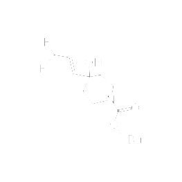 CC(C)(C)OC(=O)N1CCC(O)(/C=C/C(F)F)CC1